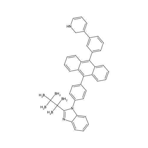 BC(B)(B)C(B)(B)c1nc2ccccc2n1-c1ccc(-c2c3ccccc3c(-c3cccc(C4=CC=CNC4)c3)c3ccccc23)cc1